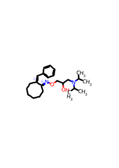 CC(C)N(CC(O)CO/N=C1\CCCCCC\C1=C\c1ccccc1)C(C)C